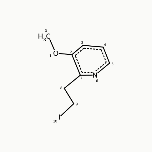 COc1cccnc1CCI